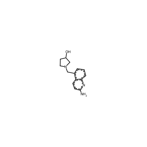 Nc1ccc2c(CN3CCC(O)C3)cccc2n1